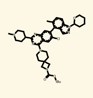 Cc1ccc2c(cnn2C2CCCCO2)c1-c1cc2nc(C3CCN(C)CC3)nc(N3CCC4(CC3)CN(C(=O)OC(C)(C)C)C4)c2cc1Cl